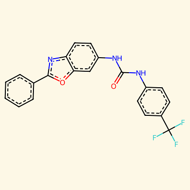 O=C(Nc1ccc(C(F)(F)F)cc1)Nc1ccc2nc(-c3ccccc3)oc2c1